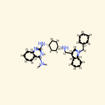 CN(C)c1nc(N[C@H]2CC[C@@H](NCc3cn(Cc4ccccc4)c4ccccc34)CC2)nc2ccccc12